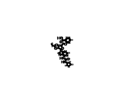 CCC1OC2C(COc3ncccc3C(=O)O)OC(n3cnc4c(NC(=O)NC5CCCC5)ncnc43)C2O1